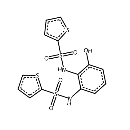 O=S(=O)(Nc1cccc(O)c1NS(=O)(=O)c1cccs1)c1cccs1